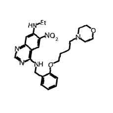 CCNc1cc2ncnc(NCc3ccccc3OCCCCN3CCOCC3)c2cc1[N+](=O)[O-]